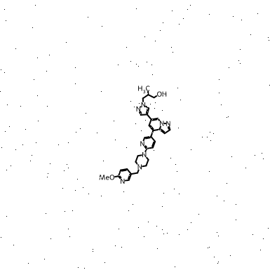 COc1ccc(CN2CCN(c3ccc(-c4cc(-c5cnn(CC(C)CO)c5)cn5nccc45)cn3)CC2)cn1